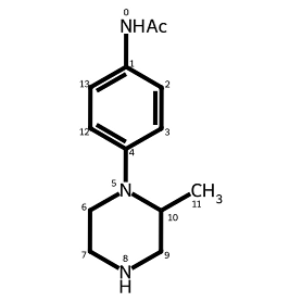 CC(=O)Nc1ccc(N2CCNCC2C)cc1